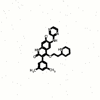 Cc1cc(C)cc(-c2c(OCCC3CCCCN3)c3cc(Nc4cnccn4)c(Cl)cc3[nH]c2=O)c1